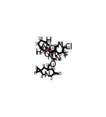 C=C1CN2CC3(CC3)CC2(COc2nc(N3C[C@H]4CC[C@@H](C3)N4C(=O)O)c3cnc(Cl)c(F)c3n2)C1